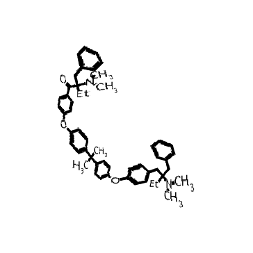 CCC(Cc1ccccc1)(Cc1ccc(Oc2ccc(C(C)(C)c3ccc(Oc4ccc(C(=O)C(CC)(Cc5ccccc5)N(C)C)cc4)cc3)cc2)cc1)N(C)C